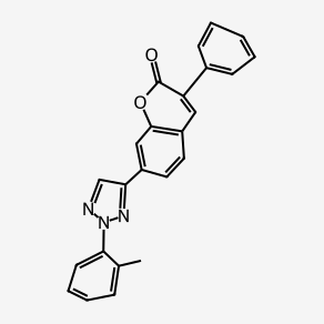 Cc1ccccc1-n1ncc(-c2ccc3cc(-c4ccccc4)c(=O)oc3c2)n1